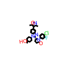 Cc1noc(C)c1-c1ccc2c(c1)nc([C@@H]1CCC(=O)N1c1ccc(Cl)c(F)c1)n2C1CCC(C)(O)CC1